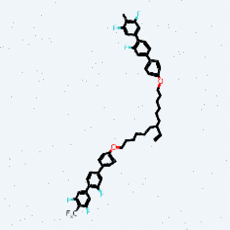 C=CC(CCCCCCOc1ccc(-c2ccc(-c3cc(F)c(C)c(F)c3)c(F)c2)cc1)CCCCCCOc1ccc(-c2ccc(-c3cc(F)c(C(F)(F)F)c(F)c3)c(F)c2)cc1